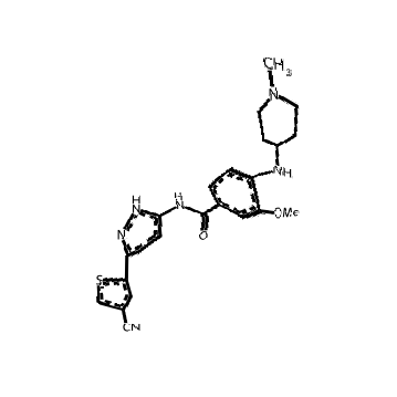 COc1cc(C(=O)Nc2cc(-c3cc(C#N)cs3)n[nH]2)ccc1NC1CCN(C)CC1